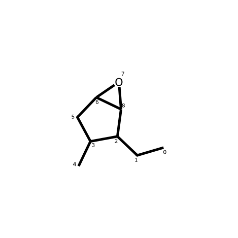 CCC1C(C)CC2OC21